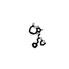 C[C@@H]1C[C@@H]2OC(=O)CCC/C=C\C[C@@H]2[C@H]1CC[C@H](CCc1ccccc1)OC1CCCCO1